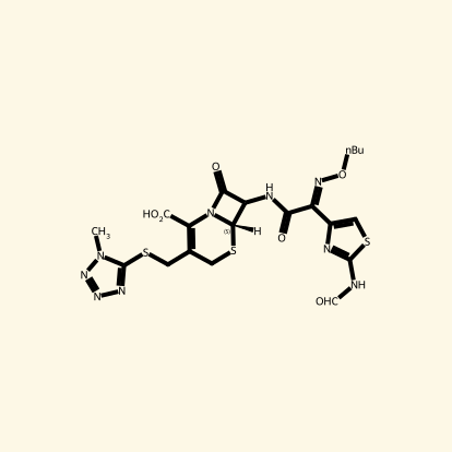 CCCCON=C(C(=O)NC1C(=O)N2C(C(=O)O)=C(CSc3nnnn3C)CS[C@@H]12)c1csc(NC=O)n1